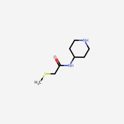 CSCC(=O)NC1CCNCC1